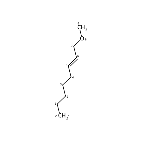 [CH2]CCCCC=CCOC